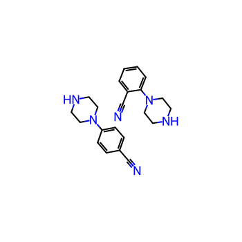 N#Cc1ccc(N2CCNCC2)cc1.N#Cc1ccccc1N1CCNCC1